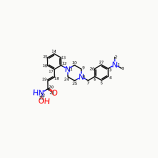 CN(C)c1ccc(CN2CCN(c3ccccc3/C=C/C(=O)NO)CC2)cc1